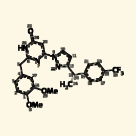 COc1ccc(Cc2nc(-n3ccc([C@@H](C)c4ccc(C(F)(F)F)cc4)n3)cc(=O)[nH]2)cc1OC